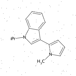 CC(C)n1cc(-c2cccn2C)c2ccccc21